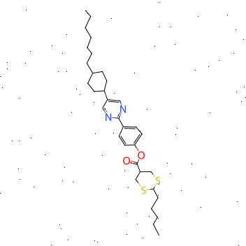 CCCCCCCC1CCC(c2cnc(-c3ccc(OC(=O)C4CSC(CCCCC)SC4)cc3)nc2)CC1